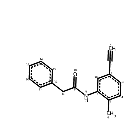 C#Cc1ccc(C)c(NC(=O)Cc2ccccc2)c1